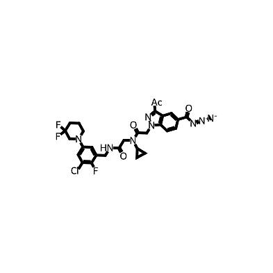 CC(=O)c1nn(CC(=O)N(CC(=O)NCc2cc(N3CCCC(F)(F)C3)cc(Cl)c2F)C2CC2)c2ccc(C(=O)N=[N+]=[N-])cc12